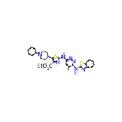 CCOC(=O)c1nc(N(C)c2cc(C)c(Nc3nc4ccccc4s3)nn2)sc1C1CCN(c2ccccc2)CC1